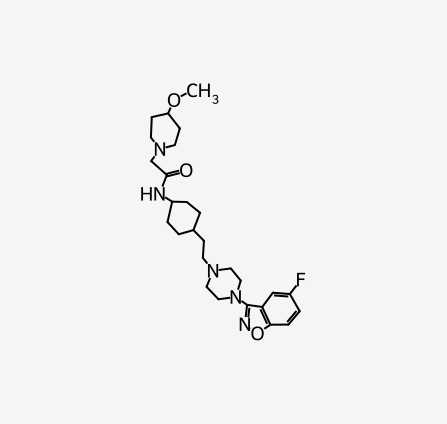 COC1CCN(CC(=O)NC2CCC(CCN3CCN(c4noc5ccc(F)cc45)CC3)CC2)CC1